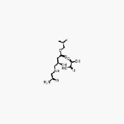 CC(C)COC(=O)CC(O)CNCC(N)=O.O=C(O)C(=O)O